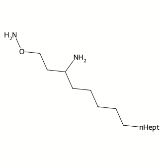 CCCCCCCCCCCCC(N)CCON